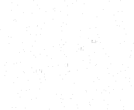 Nc1ccc(OCc2csc(N)n2)c(Cl)c1